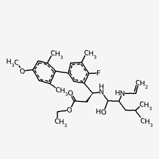 C=CNC(CC(C)C)C(O)N[C@@H](CC(=O)OCC)c1cc(-c2c(C)cc(OC)cc2C)cc(C)c1F